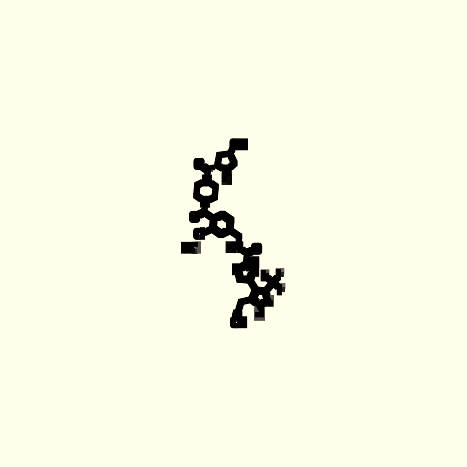 C#CCc1[nH]nc(C(F)(F)F)c1-c1cnc(C(=O)NCc2ccc(C(=O)N3CCN(C(=O)[C@@H]4C[C@@H](O)CN4)CC3)c(Cl)c2)[nH]1.Cl